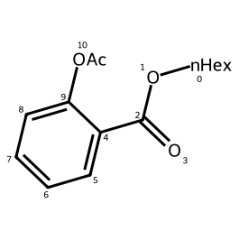 CCCCCCOC(=O)c1ccccc1OC(C)=O